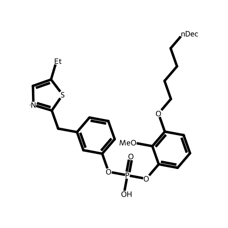 CCCCCCCCCCCCCCOc1cccc(OP(=O)(O)Oc2cccc(CC3=[N+]C=C(CC)S3)c2)c1OC